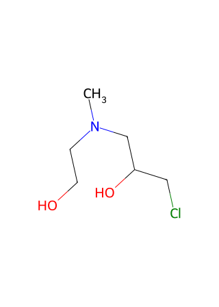 CN(CCO)CC(O)CCl